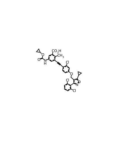 Cc1c(C#Cc2ccc(OCc3c(-c4c(Cl)cccc4Cl)noc3C3CC3)cc2Cl)cc(NC(=O)OC2CC2)cc1C(=O)O